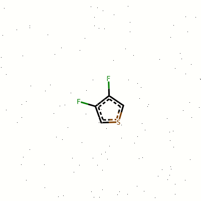 Fc1[c]scc1F